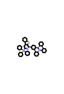 c1ccc([Si](c2ccccc2)(c2ccccc2)c2cc3c(sc4ccccc43)c(-c3ccc4c(c3)-c3ccccc3N3B4c4ccccc4-c4ccccc43)n2)cc1